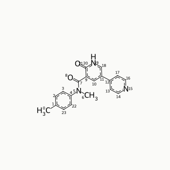 Cc1ccc(N(C)C(=O)c2cc(-c3ccncc3)c[nH]c2=O)cc1